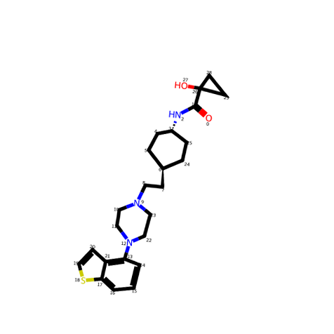 O=C(N[C@H]1CC[C@H](CCN2CCN(c3cccc4sccc34)CC2)CC1)C1(O)CC1